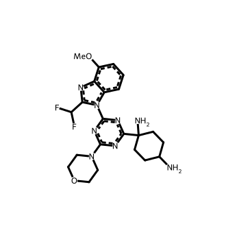 COc1cccc2c1nc(C(F)F)n2-c1nc(N2CCOCC2)nc(C2(N)CCC(N)CC2)n1